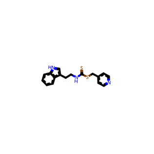 S=C(NCCc1c[nH]c2ccccc12)SCc1ccncc1